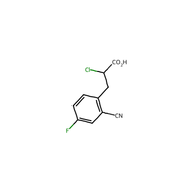 N#Cc1cc(F)[c]cc1CC(Cl)C(=O)O